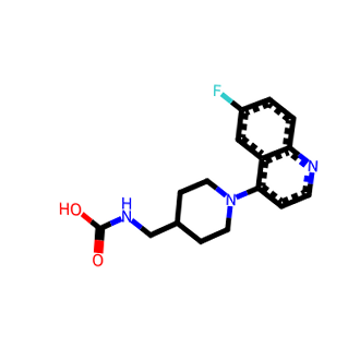 O=C(O)NCC1CCN(c2ccnc3ccc(F)cc23)CC1